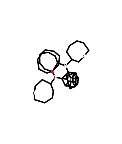 C1CCCC(P(C2CCCCCCC2)[C]23[CH]4[CH]5[CH]6[C]2(P(C2CCCCCCC2)C2CCCCCCC2)[Cr]54632789[CH]3[CH]2[CH]7[CH]8[CH]39)CCC1